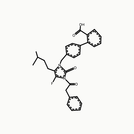 CC(C)CCc1c(F)n(C(=O)Cc2ccccc2)c(=O)n1Cc1ccc(-c2ccccc2C(=O)O)cc1